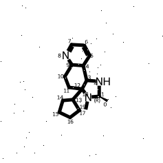 C[C@@H]1NC2C3C=CC=NC3CCC2(C2CCCC2)N1C